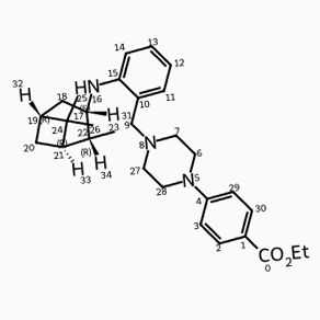 CCOC(=O)c1ccc(N2CCN(Cc3ccccc3N[C@H]3C[C@H]4C[C@H]([C@H]3C)C4(C)C)CC2)cc1